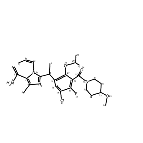 C=C(N)c1c(C)nc(C(C)c2cc(Cl)c(F)c(C(=O)N3CCC(OC)CC3)c2OC(C)C)n1/C=C\C